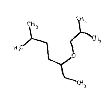 CCC(CCC(C)C)OCC(C)C